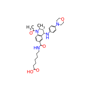 CC(=O)N1c2ccc(C(=O)NCCCCCCC(=O)O)cc2C(Nc2ccc(N3CCOCC3)cc2)CC1C